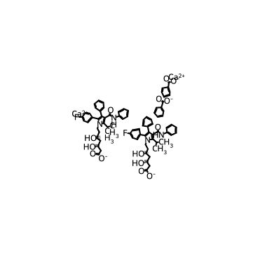 CC(C)c1c(C(=O)Nc2ccccc2)c(-c2ccccc2)c(-c2ccc(F)cc2)n1CC[C@@H](O)C[C@@H](O)CC(=O)[O-].CC(C)c1c(C(=O)Nc2ccccc2)c(-c2ccccc2)c(-c2ccc(F)cc2)n1CC[C@@H](O)C[C@@H](O)CC(=O)[O-].O=C([O-])c1ccccc1.O=C([O-])c1ccccc1.[Ca+2].[Ca+2]